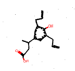 C=CCc1cc(C(C)CC(=O)O)cc(CC=C)c1O